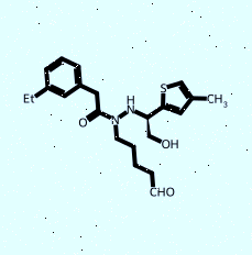 CCc1cccc(CC(=O)N(CCCCC=O)N[C@H](CO)c2cc(C)cs2)c1